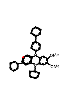 COc1cc(N(c2ccccc2)c2ccccc2)c(N(c2ccc(-c3ccccc3)cc2)c2ccc(-c3ccccc3)cc2)cc1OC